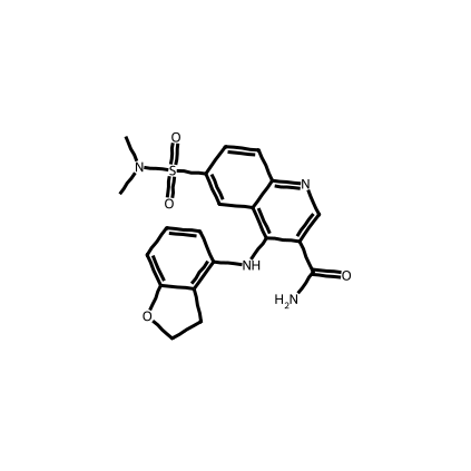 CN(C)S(=O)(=O)c1ccc2ncc(C(N)=O)c(Nc3cccc4c3CCO4)c2c1